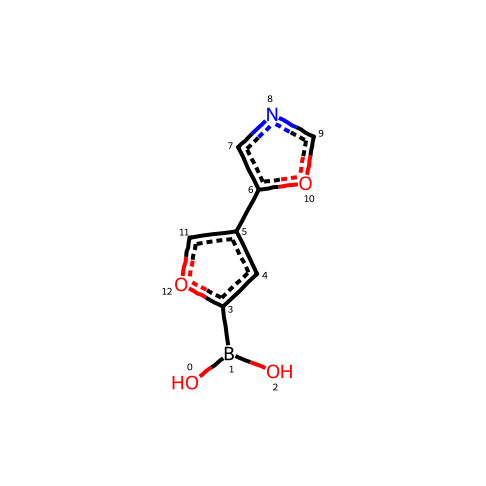 OB(O)c1cc(-c2cnco2)co1